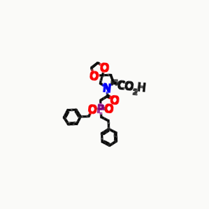 O=C(O)[C@@H]1CC2(CN1C(=O)CP(=O)(CCc1ccccc1)OCc1ccccc1)OCCO2